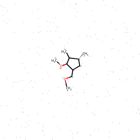 COCC1C[C@@H](C)C(C)[C@@H]1OC